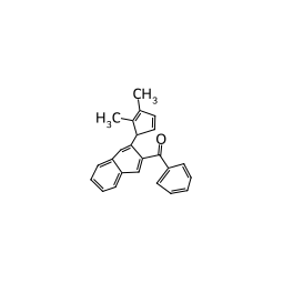 CC1=C(C)C(c2cc3ccccc3cc2C(=O)c2ccccc2)C=C1